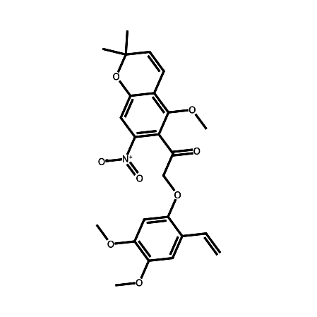 C=Cc1cc(OC)c(OC)cc1OCC(=O)c1c([N+](=O)[O-])cc2c(c1OC)C=CC(C)(C)O2